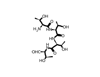 C[C@@H](O)[C@H](N)C(=O)N[C@H](C(=O)N[C@H](C(=O)N[C@H]([C]=O)[C@@H](C)O)[C@@H](C)O)[C@@H](C)O